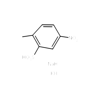 Cc1ccc([N+](=O)[O-])cc1S(=O)(=O)O.[KH].[NaH]